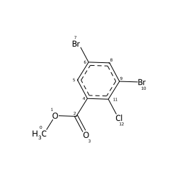 COC(=O)c1cc(Br)cc(Br)c1Cl